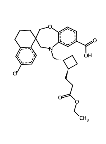 CCOC(=O)CC[C@@H]1CC[C@H]1CN1CC2(CCCc3cc(Cl)ccc32)COc2ccc(C(=O)O)cc21